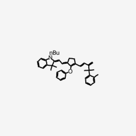 C=C(/C=C/C1=C(Oc2ccccc2)C(=C/C=C2/N(CCCC)c3ccccc3C2(C)C)/CC1)C(C)(C)c1ccccc1C